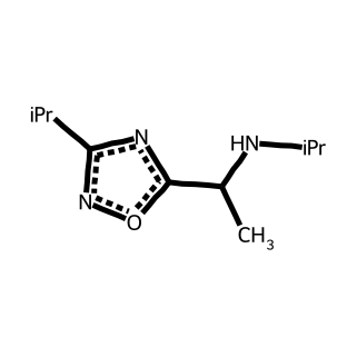 CC(C)NC(C)c1nc(C(C)C)no1